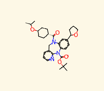 CC(C)O[C@H]1CC[C@H](C(=O)N2Cc3cccnc3N(C(=O)OC(C)(C)C)c3ccc(C4CCCO4)cc32)CC1